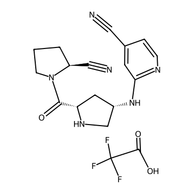 N#Cc1ccnc(N[C@@H]2CN[C@H](C(=O)N3CCC[C@H]3C#N)C2)c1.O=C(O)C(F)(F)F